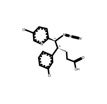 [N-]=[N+]=N[C@H](c1ccc(Cl)cn1)[C@H](CCC(=O)O)c1cccc(Cl)c1